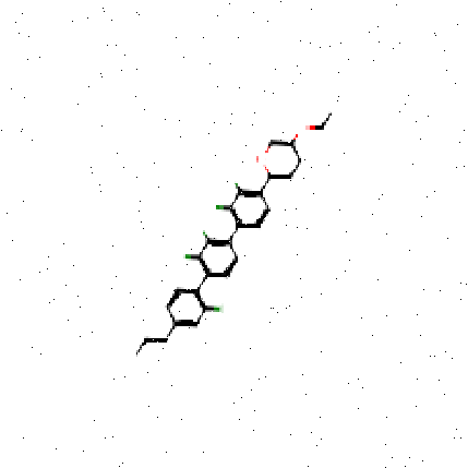 CCCc1ccc(-c2ccc(-c3ccc(C4CCC(OCC)CO4)c(F)c3F)c(F)c2F)c(F)c1